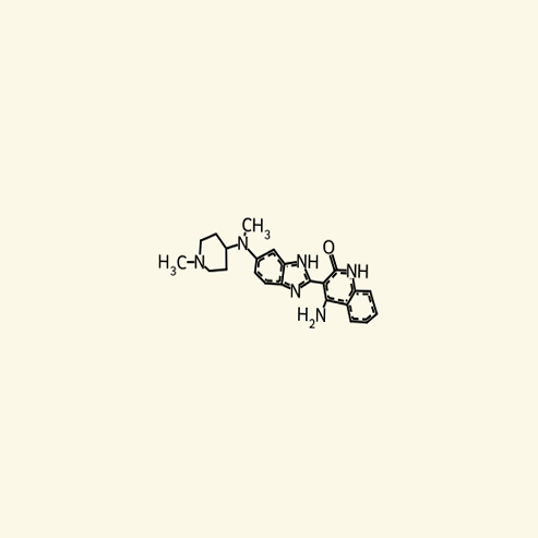 CN1CCC(N(C)c2ccc3nc(-c4c(N)c5ccccc5[nH]c4=O)[nH]c3c2)CC1